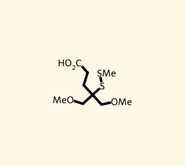 COCC(CCC(=O)O)(COC)SSC